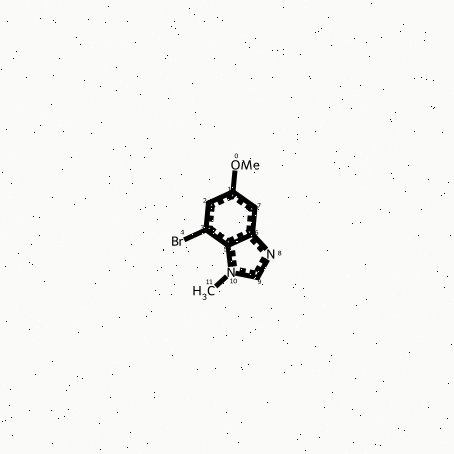 COc1cc(Br)c2c(c1)ncn2C